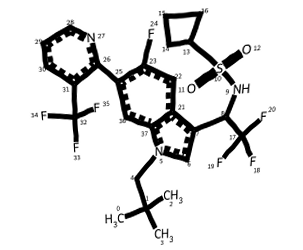 CC(C)(C)Cn1cc(C(NS(=O)(=O)C2CCC2)C(F)(F)F)c2cc(F)c(-c3ncccc3C(F)(F)F)cc21